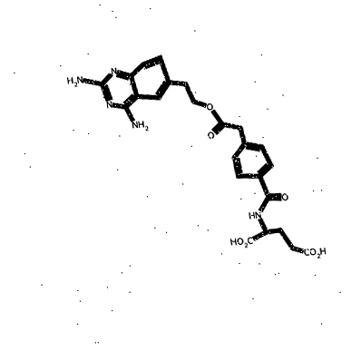 Nc1nc(N)c2cc(CCOC(=O)Cc3ccc(C(=O)NC(CCC(=O)O)C(=O)O)cc3)ccc2n1